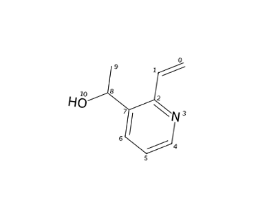 C=Cc1ncccc1C(C)O